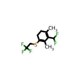 CC1=C(C(F)F)C(C)=C(SCC(F)(F)F)C[CH]1